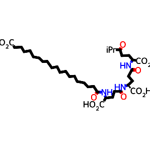 CC(C)C(=O)CCC(NC(=O)CC[C@H](NC(=O)CCC(NC(=O)CCCCCCCCCCCCCCCCCCC(=O)O)C(=O)O)C(=O)O)C(=O)O